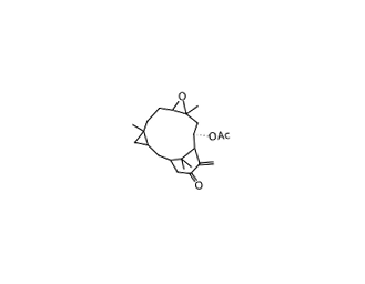 C=C1C(=O)CC2CC3CC3(C)CCC3OC3(C)C[C@H](OC(C)=O)C1C2(C)C